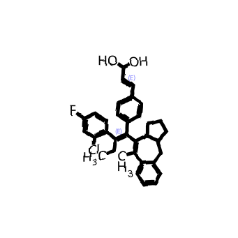 CC/C(=C(\C1=C(C)c2ccccc2CC2CCCC12)c1ccc(/C=C/C(O)O)cc1)c1ccc(F)cc1Cl